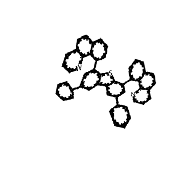 c1ccc(-c2cc(-c3cccc4ccc5cccnc5c34)c3sc4c(-c5cccc6ccc7cccnc7c56)cc(-c5ccccc5)cc4c3c2)cc1